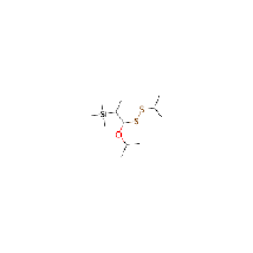 CC(C)OC(SSC(C)C)C(C)[Si](C)(C)C